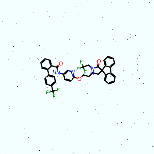 O=C(Nc1ccc(OCCCCC2(C(=O)NCC(F)(F)F)c3ccccc3-c3ccccc32)nc1)c1ccccc1-c1ccc(C(F)(F)F)cc1